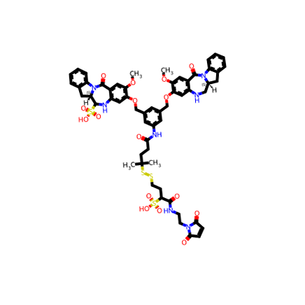 COc1cc2c(cc1OCc1cc(COc3cc4c(cc3OC)C(=O)N3c5ccccc5C[C@H]3C(S(=O)(=O)O)N4)cc(NC(=O)CCC(C)(C)SSCCC(C(=O)NCCN3C(=O)C=CC3=O)S(=O)(=O)O)c1)NC[C@@H]1Cc3ccccc3N1C2=O